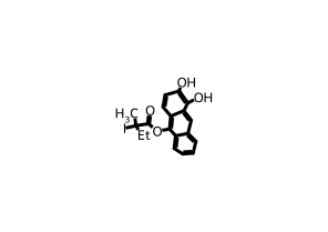 CCC(C)(I)C(=O)Oc1c2ccccc2cc2c(O)c(O)ccc12